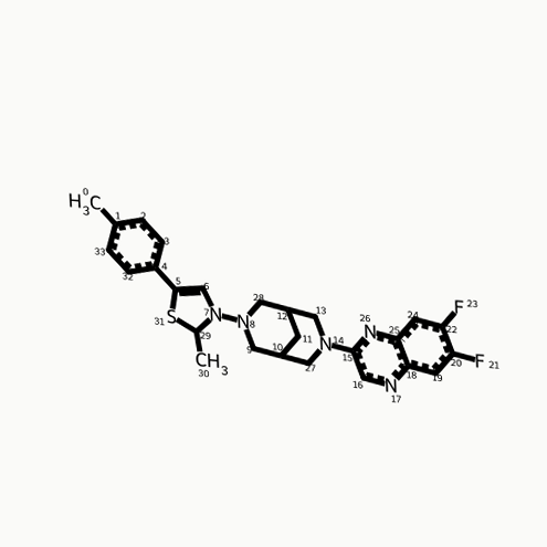 Cc1ccc(C2=[C]N(N3CC4CC(CN(c5cnc6cc(F)c(F)cc6n5)C4)C3)C(C)S2)cc1